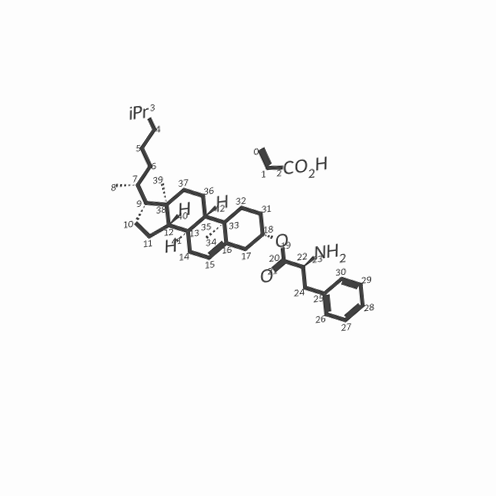 C=CC(=O)O.CC(C)CCC[C@@H](C)[C@H]1CC[C@H]2[C@@H]3CC=C4C[C@@H](OC(=O)[C@@H](N)Cc5ccccc5)CC[C@]4(C)[C@H]3CC[C@]12C